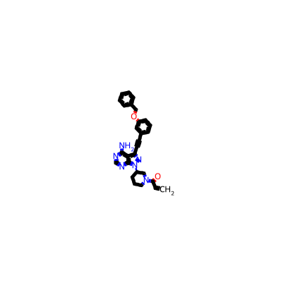 C=CC(=O)N1CCC[C@@H](n2nc(C#Cc3cccc(OCc4ccccc4)c3)c3c(N)ncnc32)C1